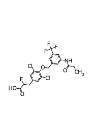 CCC(=O)Nc1cc(COc2c(Cl)cc(CC(F)C(=O)O)cc2Cl)cc(C(F)(F)F)c1